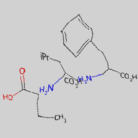 CC(C)CC(N)C(=O)O.CCCC(=O)O.NC(Cc1ccccc1)C(=O)O